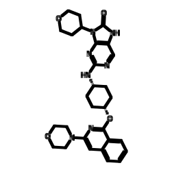 O=c1[nH]c2cnc(N[C@H]3CC[C@@H](Oc4nc(N5CCOCC5)cc5ccccc45)CC3)nc2n1C1CCOCC1